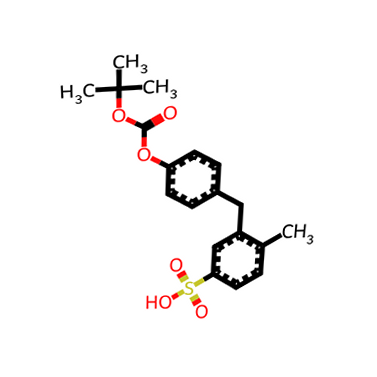 Cc1ccc(S(=O)(=O)O)cc1Cc1ccc(OC(=O)OC(C)(C)C)cc1